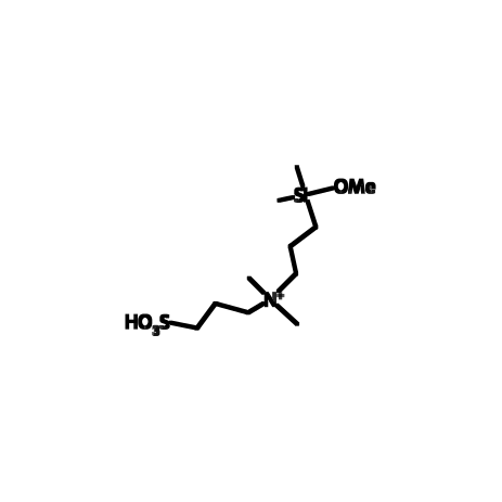 CO[Si](C)(C)CCC[N+](C)(C)CCCS(=O)(=O)O